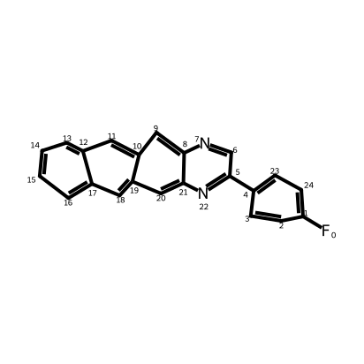 Fc1ccc(-c2cnc3cc4cc5ccccc5cc4cc3n2)cc1